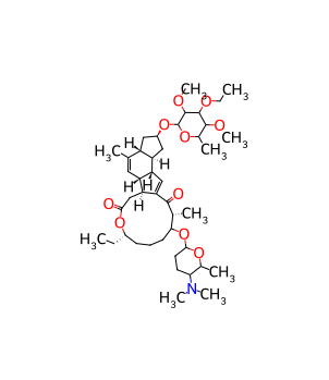 CCOC1C(OC)C(C)OC(O[C@H]2C[C@H]3[C@@H]4C=C5C(=O)[C@H](C)C(OC6CCC(N(C)C)C(C)O6)CCC[C@H](CC)OC(=O)C[C@H]5[C@@H]4C=C(C)[C@@H]3C2)C1OC